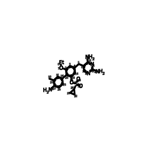 CCOc1cc(Cc2cnc(N)nc2N)cc(OS(=O)(=O)C2CC2)c1-c1ccc(N)c(C)c1